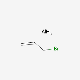 C=CCBr.[AlH3]